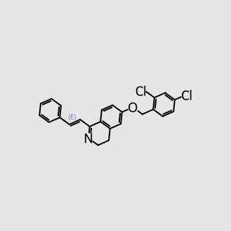 Clc1ccc(COc2ccc3c(c2)CCN=C3/C=C/c2ccccc2)c(Cl)c1